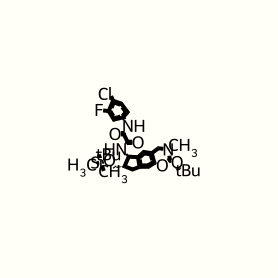 CN(Cc1ccc2c(c1)[C@H](NC(=O)C(=O)Nc1ccc(Cl)c(F)c1)[C@@H](CO[Si](C)(C)C(C)(C)C)C2)C(=O)OC(C)(C)C